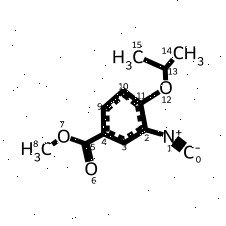 [C-]#[N+]c1cc(C(=O)OC)ccc1OC(C)C